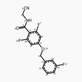 N#CCNC(=O)c1c(F)cc(OCc2cccc(F)c2)cc1F